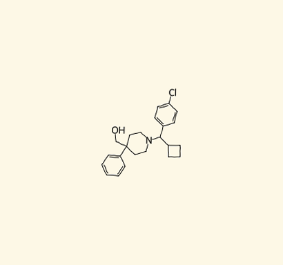 OCC1(c2ccccc2)CCN(C(c2ccc(Cl)cc2)C2CCC2)CC1